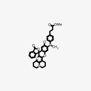 COC(=O)CCc1ccc(N(C)c2cc3c(cc2Cl)C2(OC(=O)c4ccccc42)c2cc4c5c(c2O3)CCCN5CCC4)cc1